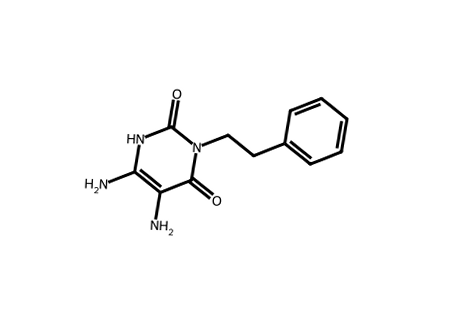 Nc1[nH]c(=O)n(CCc2ccccc2)c(=O)c1N